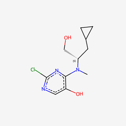 CN(c1nc(Cl)ncc1O)[C@H](CO)CC1CC1